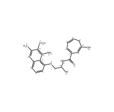 Cc1nc2cccc(OCC(NC(=O)C3=CC=CCC(O)=C3)C(C)C)c2c(N)c1C(=O)O